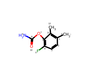 [CH2]c1ccc(F)c(OC(N)=O)c1C